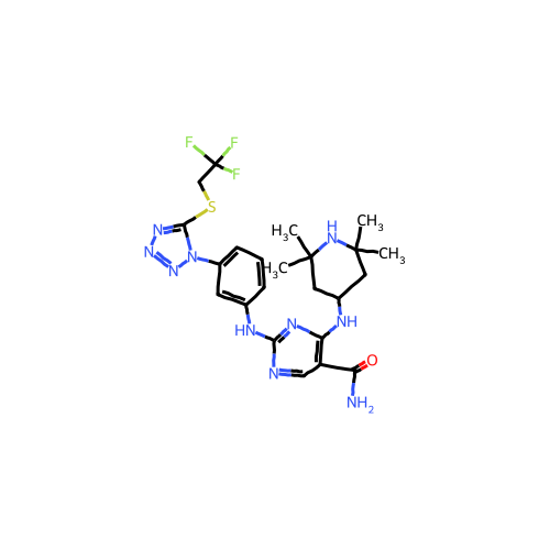 CC1(C)CC(Nc2nc(Nc3cccc(-n4nnnc4SCC(F)(F)F)c3)ncc2C(N)=O)CC(C)(C)N1